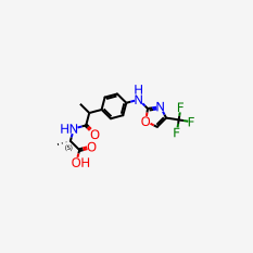 CC(C(=O)N[C@@H](C)C(=O)O)c1ccc(Nc2nc(C(F)(F)F)co2)cc1